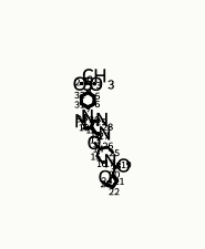 CS(=O)(=O)c1ccc(-n2ncc3c(OC4CCN(C(=O)c5ccco5)CC4)ncnc32)cc1